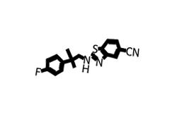 CC(C)(CNc1nc2cc(C#N)ccc2s1)c1ccc(F)cc1